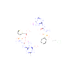 COC(=O)c1sccc1S(=O)(=O)NC(=O)N=c1nc(C)nc(OC)[nH]1.COc1nc(C)nc(=NC(=O)NS(=O)(=O)c2ccccc2OCCCl)[nH]1